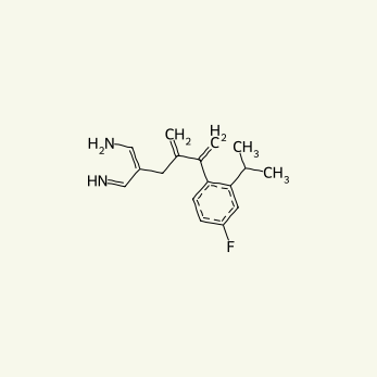 C=C(C/C(C=N)=C/N)C(=C)c1ccc(F)cc1C(C)C